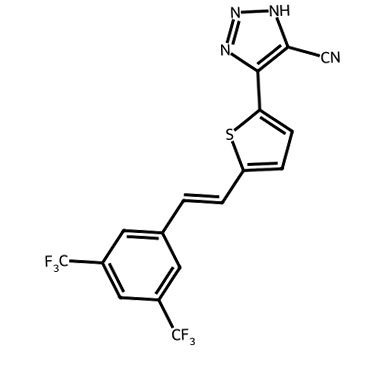 N#Cc1[nH]nnc1-c1ccc(/C=C/c2cc(C(F)(F)F)cc(C(F)(F)F)c2)s1